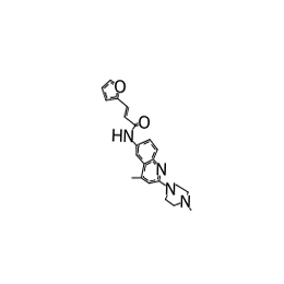 Cc1cc(N2CCN(C)CC2)nc2ccc(NC(=O)C=Cc3ccco3)cc12